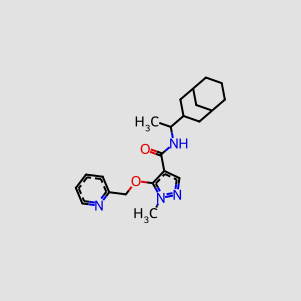 CC(NC(=O)c1cnn(C)c1OCc1ccccn1)C1CC2CCCC(C2)C1